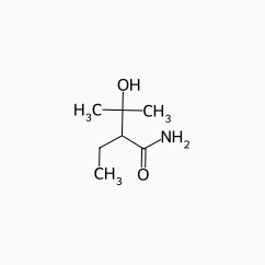 CCC(C(N)=O)C(C)(C)O